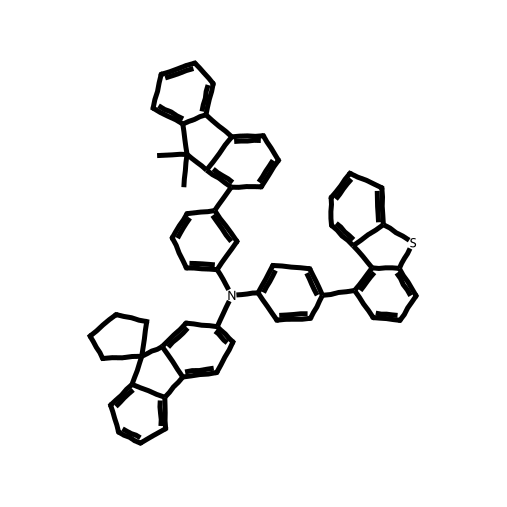 CC1(C)c2ccccc2-c2cccc(-c3cccc(N(c4ccc(-c5cccc6sc7ccccc7c56)cc4)c4ccc5c(c4)C4(CCCC4)c4ccccc4-5)c3)c21